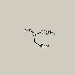 CCCCCC[C@@H](CCC)C(=O)O.[CaH2]